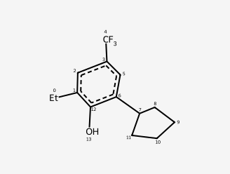 CCc1cc(C(F)(F)F)cc(C2CCCC2)c1O